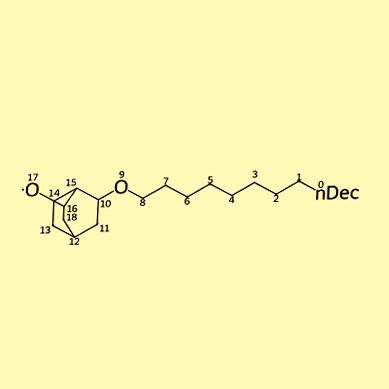 [CH2]CCCCCCCCCCCCCCCCCOC1CC2CCC1C([O])C2